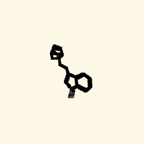 C1=CC2CCC1CN2CCc1c[nH]c2ccccc12